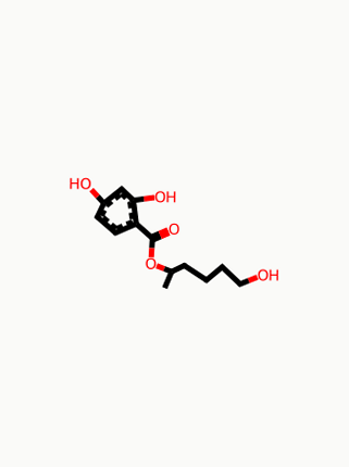 CC(CCCCO)OC(=O)c1ccc(O)cc1O